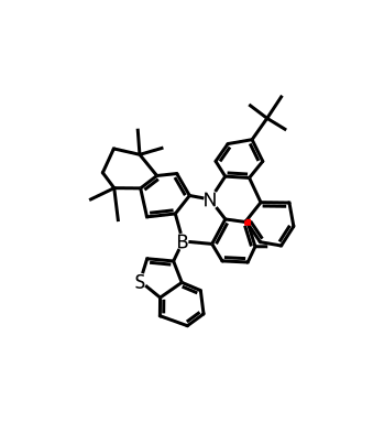 Cc1ccc2c(c1)N(c1ccc(C(C)(C)C)cc1-c1ccccc1)c1cc3c(cc1B2c1csc2ccccc12)C(C)(C)CCC3(C)C